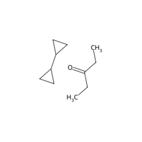 C1CC1C1CC1.CCC(=O)CC